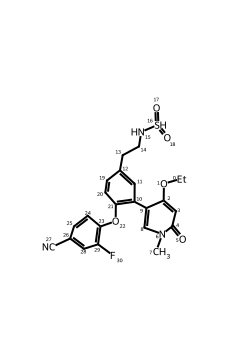 CCOc1cc(=O)n(C)cc1-c1cc(CCN[SH](=O)=O)ccc1Oc1ccc(C#N)cc1F